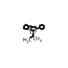 C=CC(C)=COS(=O)(=O)C(C=Cc1ccccc1)=Cc1ccccc1